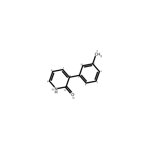 Cc1cccc(-c2ccc[nH]c2=O)c1